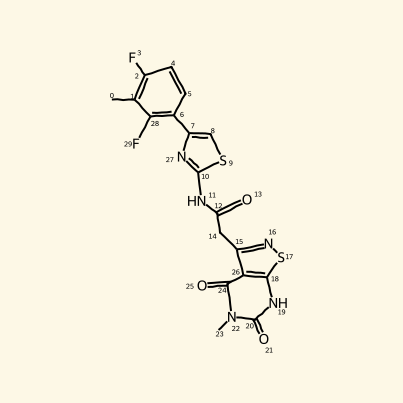 Cc1c(F)ccc(-c2csc(NC(=O)Cc3nsc4[nH]c(=O)n(C)c(=O)c34)n2)c1F